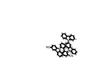 N#Cc1ccc2c(c1)c1ccccc1n2-c1ccccc1-c1cccc(C#N)c1-n1c2ccccc2c2cc(-n3c4ccccc4c4ccccc43)ccc21